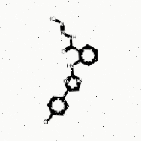 O=C(NN=NO)c1ccccc1Nc1ncc(-c2ccc(Cl)cc2)o1